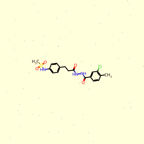 Cc1ccc(C(=O)NNC(=O)CCc2ccc(NS(C)(=O)=O)cc2)cc1Cl